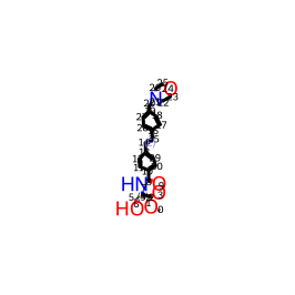 COC(=O)[C@H](CO)NC(=O)c1ccc(/C=C/c2ccc(CN3CCOCC3)cc2)cc1